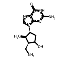 C=C1[C@H](CN)C(O)C[C@@H]1n1cnc2c(=O)[nH]c(N)nc21